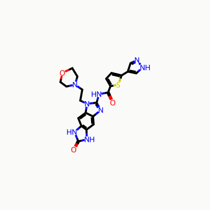 O=C(Nc1nc2cc3[nH]c(=O)[nH]c3cc2n1CCN1CCOCC1)c1ccc(-c2cn[nH]c2)s1